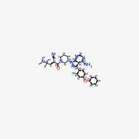 CN(C)C(C)(C)C=C(C#N)C(=O)N1CCC[C@@H](n2nc(-c3ccc(Oc4ccccc4)cc3F)c3c(N)ncnc32)C1